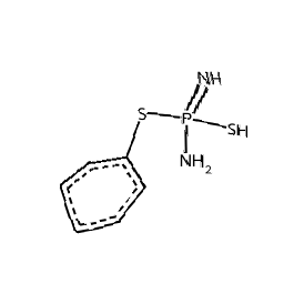 N=P(N)(S)Sc1ccccc1